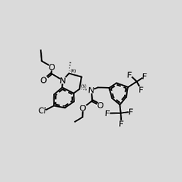 CCOC(=O)N(Cc1cc(C(F)(F)F)cc(C(F)(F)F)c1)[C@H]1C[C@@H](C)N(C(=O)OCC)c2cc(Cl)ccc21